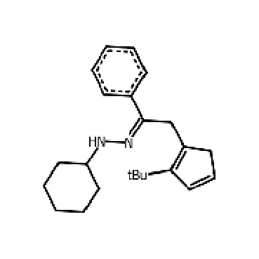 CC(C)(C)C1=C(CC(=NNC2CCCCC2)c2ccccc2)CC=C1